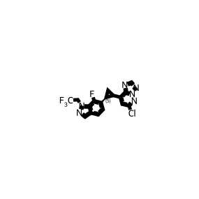 Fc1c([C@H]2CC2c2cc(Cl)nn3ncnc23)ccc2cnn(CC(F)(F)F)c12